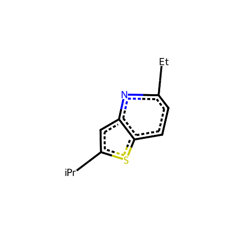 CCc1ccc2sc(C(C)C)cc2n1